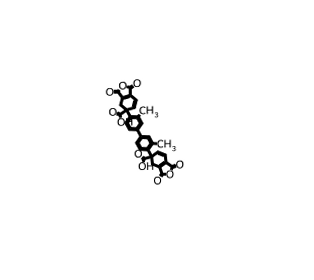 Cc1cc(-c2ccc(C3(C(=O)O)C=CC4=C(C3)C(=O)OC4=O)c(C)c2)ccc1C1(C(=O)O)C=CC2=C(C1)C(=O)OC2=O